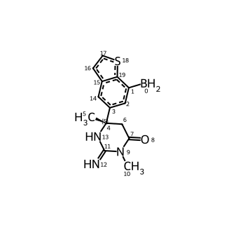 Bc1cc([C@]2(C)CC(=O)N(C)C(=N)N2)cc2ccsc12